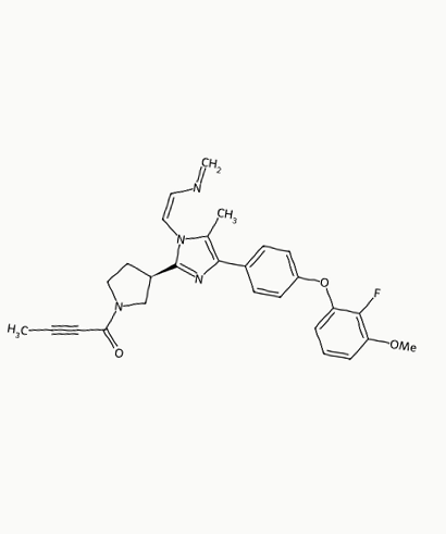 C=N/C=C\n1c([C@@H]2CCN(C(=O)C#CC)C2)nc(-c2ccc(Oc3cccc(OC)c3F)cc2)c1C